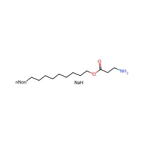 CCCCCCCCCCCCCCCCCCOC(=O)CCN.[NaH]